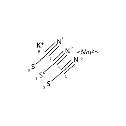 N#C[S-].N#C[S-].N#C[S-].[K+].[Mn+2]